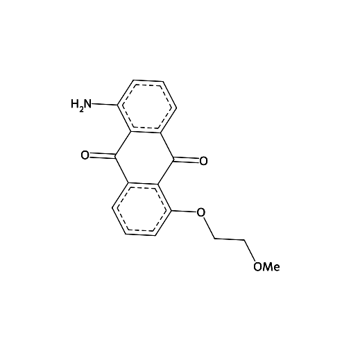 COCCOc1cccc2c1C(=O)c1cccc(N)c1C2=O